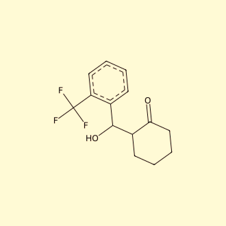 O=C1CCCCC1C(O)c1ccccc1C(F)(F)F